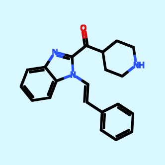 O=C(c1nc2ccccc2n1C=Cc1ccccc1)C1CCNCC1